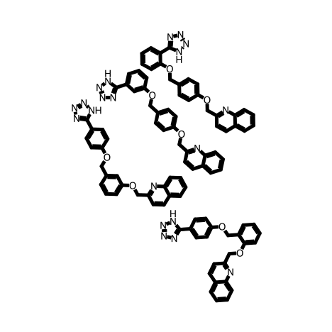 c1cc(COc2ccc(-c3nnn[nH]3)cc2)cc(OCc2ccc3ccccc3n2)c1.c1cc(OCc2ccc(OCc3ccc4ccccc4n3)cc2)cc(-c2nnn[nH]2)c1.c1ccc(-c2nnn[nH]2)c(OCc2ccc(OCc3ccc4ccccc4n3)cc2)c1.c1ccc(OCc2ccc3ccccc3n2)c(COc2ccc(-c3nnn[nH]3)cc2)c1